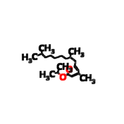 CC(C=CCC(C)CCCCCC(C)C)=CC(=O)OC(C)C